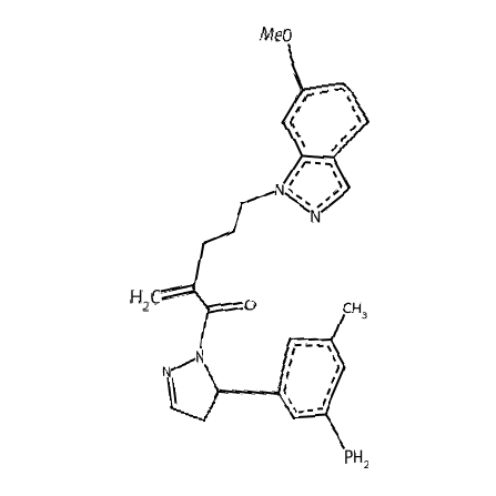 C=C(CCCn1ncc2ccc(OC)cc21)C(=O)N1N=CCC1c1cc(C)cc(P)c1